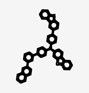 c1cc(-c2ccc(N(c3ccc(-c4ccc5sc6ccccc6c5c4)cc3)c3ccc4c(c3)oc3ccccc34)cc2)cc(-c2ccc3ccccc3c2)c1